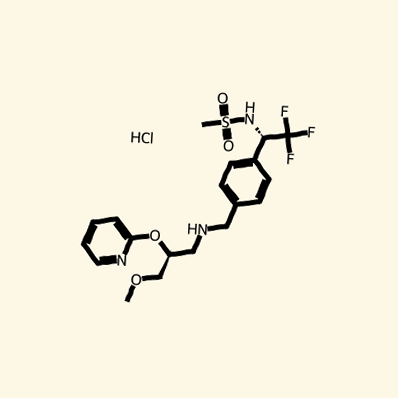 COC[C@H](CNCc1ccc([C@H](NS(C)(=O)=O)C(F)(F)F)cc1)Oc1ccccn1.Cl